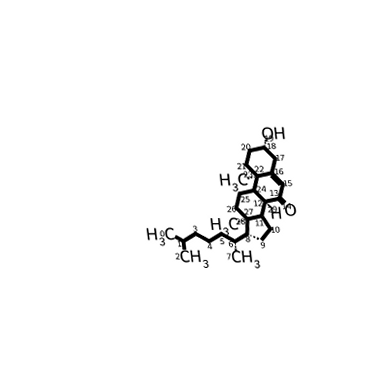 CC(C)CCC[C@@H](C)[C@H]1CCC2[C@@H]3C(=O)C=C4C[C@@H](O)CC[C@]4(C)C3CC[C@@]21C